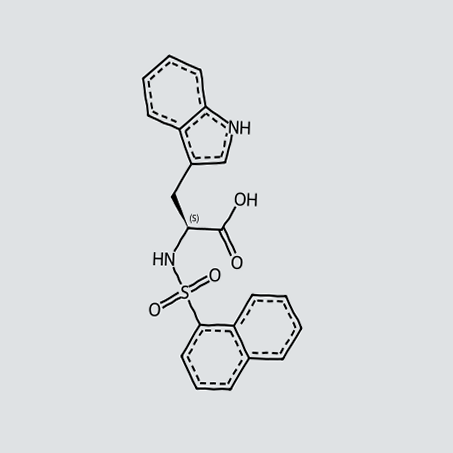 O=C(O)[C@H](Cc1c[nH]c2ccccc12)NS(=O)(=O)c1cccc2ccccc12